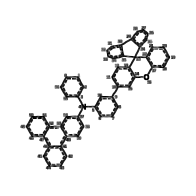 c1ccc(N(c2cccc(-c3ccc4c(c3)Oc3ccccc3C43c4ccccc4-c4ccccc43)c2)c2ccc3c4ccccc4c4ccccc4c3c2)cc1